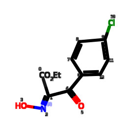 CCOC(=O)/C(=N\O)C(=O)c1ccc(Cl)cc1